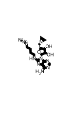 [N-]=[N+]=NCCCCNc1nc2c(N)ncnc2n1[C@@H]1O[C@H](CN2CC2)C(O)C1O